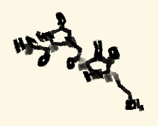 CCCC[C@@H]1NC[C@H](C(=O)CN2CC(=O)N[C@@H](C(C)=O)C2)NC1=O